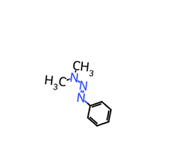 CN(C)/N=N/c1ccccc1